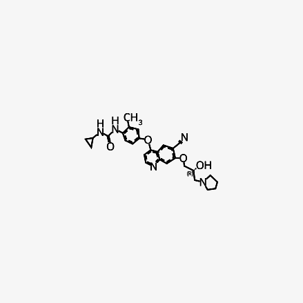 Cc1cc(Oc2ccnc3cc(OC[C@H](O)CN4CCCC4)c(C#N)cc23)ccc1NC(=O)NC1CC1